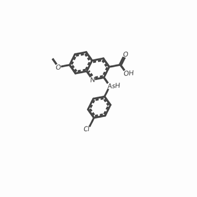 COc1ccc2cc(C(=O)O)c([AsH]c3ccc(Cl)cc3)nc2c1